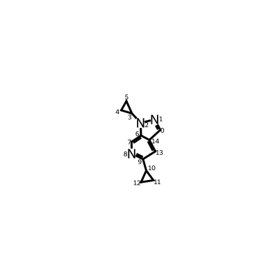 c1nn(C2CC2)c2cnc(C3CC3)cc12